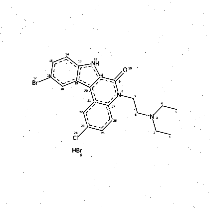 Br.CCN(CC)CCn1c(=O)c2[nH]c3ccc(Br)cc3c2c2cc(Cl)ccc21